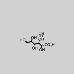 O=C(O)[C@H](O)[C@@H](O)[C@H](O)[C@H](O)CO.[LiH].[LiH]